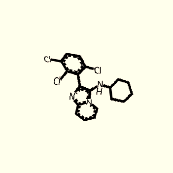 Clc1ccc(Cl)c(-c2nc3ccccn3c2NC2CCCCC2)c1Cl